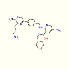 C[C@H](NC(O)c1cc(C#N)cnc1NCc1ccc(-c2cnc(N)c(CCCN)n2)cc1)c1ccc(F)cc1